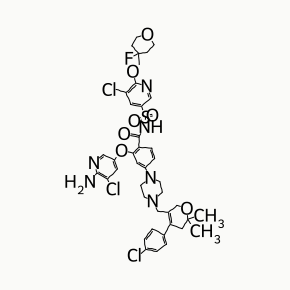 CC1(C)CC(c2ccc(Cl)cc2)=C(CN2CCN(c3ccc(C(=O)NS(=O)(=O)c4cnc(OCC5(F)CCOCC5)c(Cl)c4)c(Oc4cnc(N)c(Cl)c4)c3)CC2)CO1